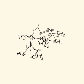 CCN(CC)P1N(C)CCC(=NC(C)(C)C)N1C